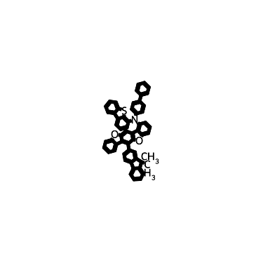 CC1(C)c2ccccc2-c2ccc(-c3c4oc5cccc(N(c6ccc(-c7ccccc7)cc6)c6cccc7c6sc6ccccc67)c5c4cc4oc5ccccc5c34)cc21